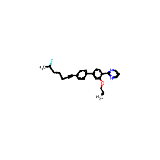 C=CCOc1cc(-c2ccc(C#CCCCC(C)F)cc2)ccc1-c1ncccn1